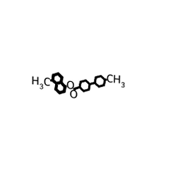 Cc1cccc2c(OC(=O)C3CCC(C4CCC(C)CC4)CC3)cccc12